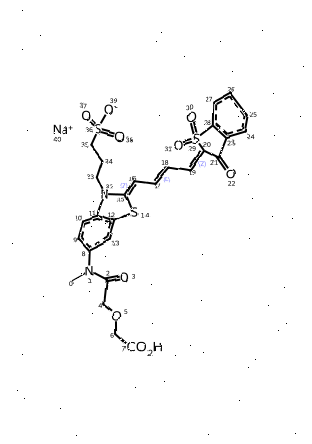 CN(C(=O)COCC(=O)O)c1ccc2c(c1)S\C(=C/C=C/C=C1/C(=O)c3ccccc3S1(=O)=O)N2CCCS(=O)(=O)[O-].[Na+]